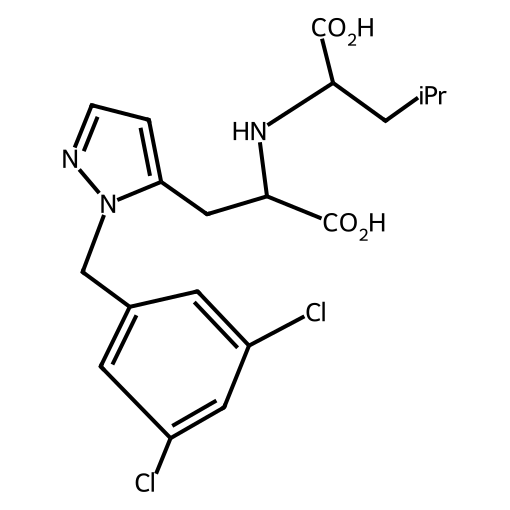 CC(C)CC(NC(Cc1ccnn1Cc1cc(Cl)cc(Cl)c1)C(=O)O)C(=O)O